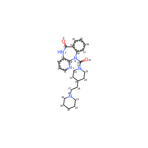 O=C1Nc2cccnc2N(C(=O)N2CCC(CCN3CCCCC3)CC2)c2ccccc21